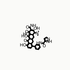 CN(C)C1C(O)=C(C(N)=O)C(=O)C2(O)C(O)=C3C(=O)c4c(O)ccc(-c5cccc(NC(=O)c6ccn[nH]6)c5)c4CC3CC12